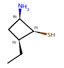 CC[C@H]1C[C@@H](N)[C@H]1S